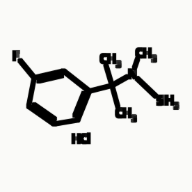 CN([SiH3])C(C)(C)c1cccc(F)c1.Cl